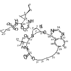 CC[C@@H]1C[C@]1(NC(=O)[C@@H]1C[C@@H]2CN1C(=O)[C@H](C(C)(C)C)NC(=O)OCCCCCc1ccc3ncnc(c3c1)O2)C(=O)NS(=O)(=O)C1CC1